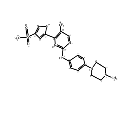 CN1CCN(c2ccc(Nc3ncc(C(F)(F)F)c(-c4cc(S(C)(=O)=O)cs4)n3)cc2)CC1